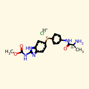 COC(=O)Nc1nc2ccc(Sc3ccc(NC(=O)[C@H](C)N)cc3)cc2[nH]1.[Cl-].[H+]